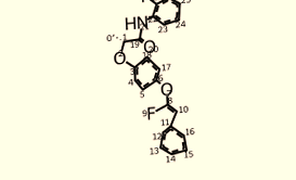 C[C@@H](Oc1ccc(O/C(F)=C/c2ccccc2)cc1)C(=O)Nc1ccccc1F